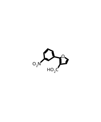 O=C(O)c1ccoc1-c1cccc([N+](=O)[O-])c1